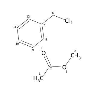 COC(C)=O.ClCc1ccccc1